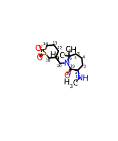 CNC1CCCC(C)(C)N(CC2CCCS(=O)(=O)C2)C1=O